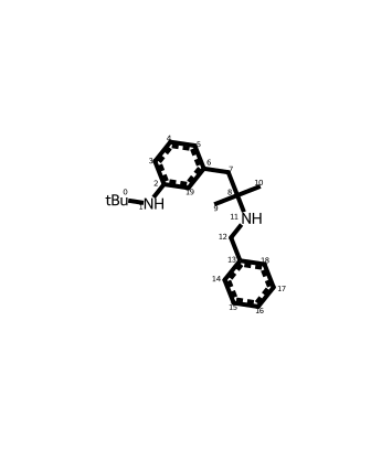 CC(C)(C)Nc1cccc(CC(C)(C)NCc2ccccc2)c1